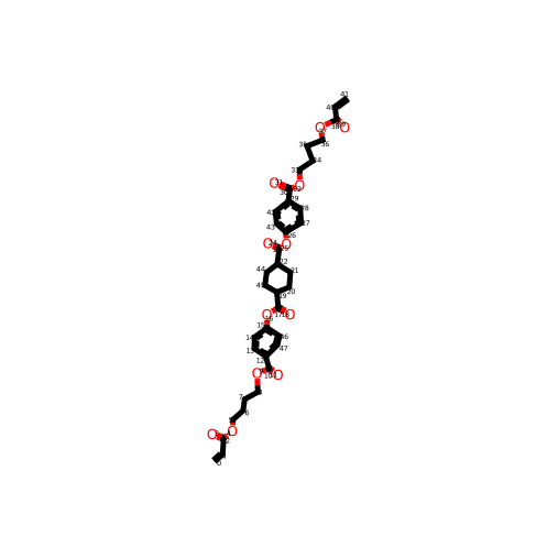 C=CC(=O)OCCCCOC(=O)c1ccc(OC(=O)C2CCC(C(=O)Oc3ccc(C(=O)OCCCCOC(=O)C=C)cc3)CC2)cc1